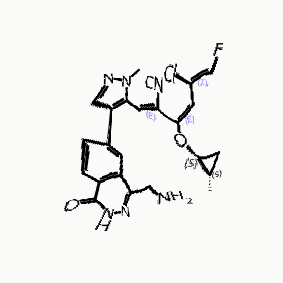 C[C@H]1C[C@@H]1OC(=C/C(Cl)=C/F)/C(C#N)=C/c1c(-c2ccc3c(=O)[nH]nc(CN)c3c2)cnn1C